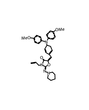 C=CCN1C(=O)/C(=C\C2=CCC(N(c3ccc(OC)cc3)c3ccc(OC)cc3)C=C2)OC1=NN1CCCCC1